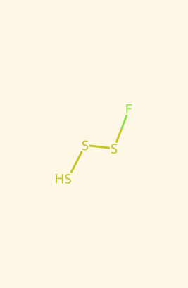 FSSS